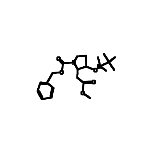 COC(=O)CC1C(O[Si](C)(C)C(C)(C)C)CCN1C(=O)OCc1ccccc1